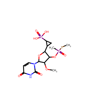 COC1C(OP(C)(=O)SC)C(C2CC2P(=O)(O)O)OC1n1ccc(=O)[nH]c1=O